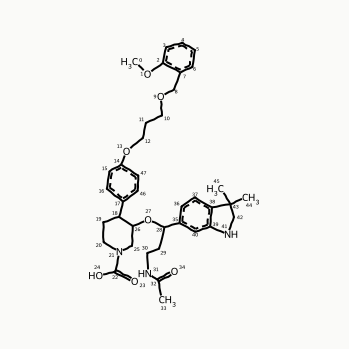 COc1ccccc1COCCCOc1ccc(C2CCN(C(=O)O)CC2OC(CCNC(C)=O)c2ccc3c(c2)NCC3(C)C)cc1